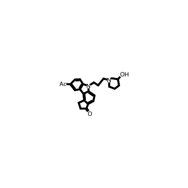 CC(=O)c1ccc2c(c1)c1c3c(ccc1n2CCCN1CCCC(O)C1)C(=O)CC3